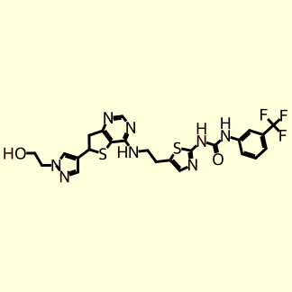 O=C(Nc1cccc(C(F)(F)F)c1)Nc1ncc(CCNc2ncnc3c2SC(c2cnn(CCO)c2)C3)s1